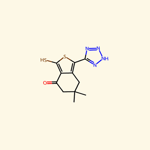 CC1(C)CC(=O)c2c(S)sc(-c3nn[nH]n3)c2C1